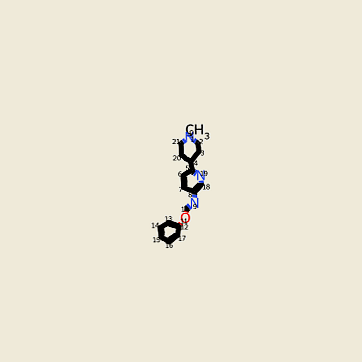 CN1CCC(c2ccc(N=COc3ccccc3)cn2)CC1